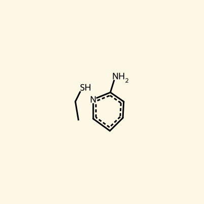 CCS.Nc1ccccn1